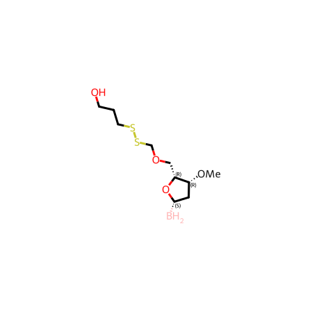 B[C@H]1C[C@@H](OC)[C@@H](COCSSCCCO)O1